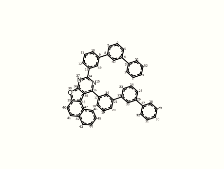 c1ccc(-c2cccc(-c3cccc(-c4nc(-c5cccc(-c6cccc(-c7ccccc7)c6)c5)c5c(n4)oc4ccc6ccccc6c45)c3)c2)cc1